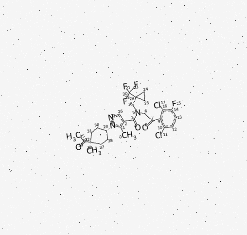 Cc1c(C(=O)N(CC(=O)c2c(Cl)ccc(F)c2Cl)CC2(C(F)(F)F)CC2)cnn1[C@H]1CC[C@](C)(C(C)=O)CC1